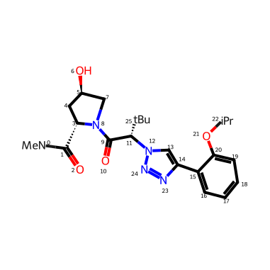 CNC(=O)[C@@H]1C[C@@H](O)CN1C(=O)[C@@H](n1cc(-c2ccccc2OC(C)C)nn1)C(C)(C)C